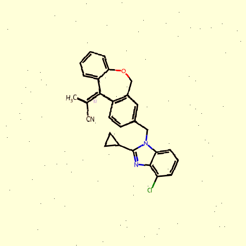 C/C(C#N)=C1/c2ccc(Cn3c(C4CC4)nc4c(Cl)cccc43)cc2COc2ccccc21